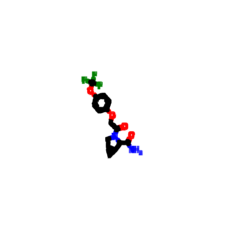 NC(=O)C1C2CC2CN1C(=O)COc1ccc(OC(F)(F)F)cc1